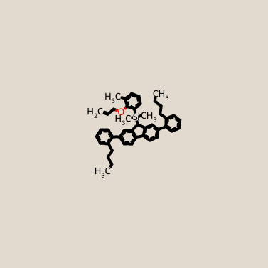 C=CCOc1c(C)cccc1[Si](C)(C)C1c2cc(-c3ccccc3CCCC)ccc2-c2ccc(-c3ccccc3CCCC)cc21